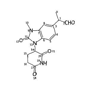 CC(C=O)c1ccc2c(c1)n(C)c(=O)n2C1CCC(=O)NC1=O